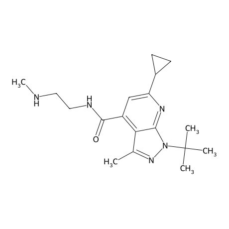 CNCCNC(=O)c1cc(C2CC2)nc2c1c(C)nn2C(C)(C)C